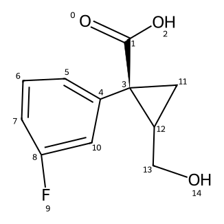 O=C(O)[C@@]1(c2cccc(F)c2)CC1CO